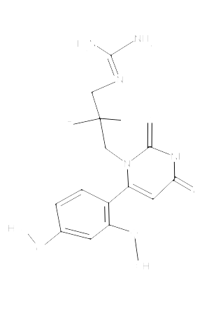 COc1ccc(-c2cc(=O)[nH]c(=S)n2CC(F)(F)CN=C(N)N)c(OC)c1